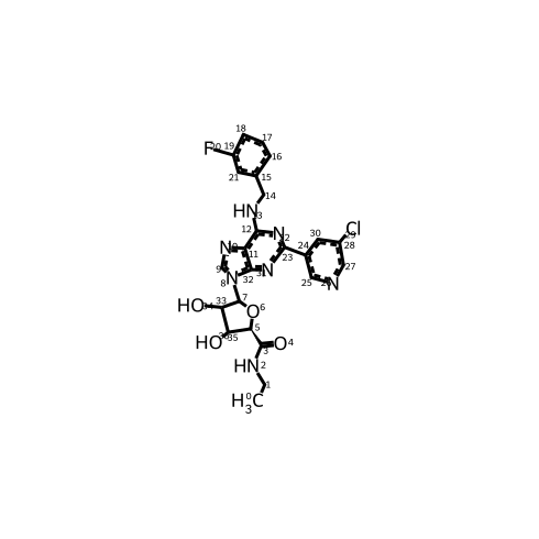 CCNC(=O)[C@@H]1OC(n2cnc3c(NCc4cccc(F)c4)nc(-c4cncc(Cl)c4)nc32)C(O)C1O